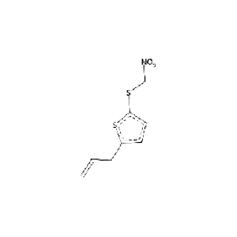 C=CCc1ccc(SC[N+](=O)[O-])s1